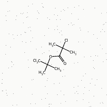 CC(C)(Cl)C(=O)OC(C)(C)C(Cl)(Cl)Cl